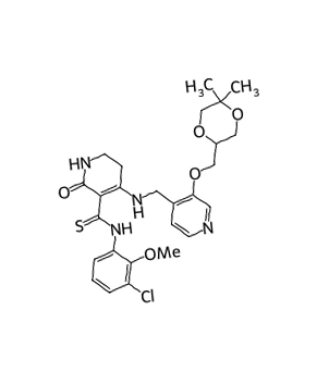 COc1c(Cl)cccc1NC(=S)C1=C(NCc2ccncc2OCC2COC(C)(C)CO2)CCNC1=O